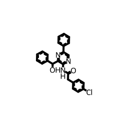 O=C(Cc1ccc(Cl)cc1)Nc1ncc(-c2ccccc2)nc1C(O)c1ccccc1